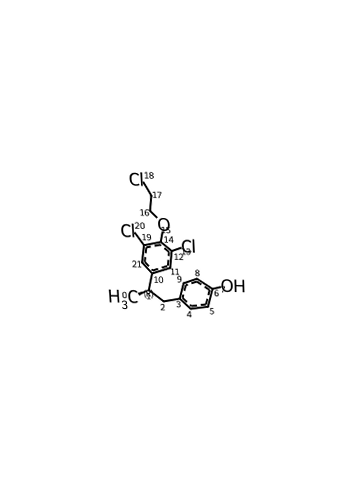 C[C@H](Cc1ccc(O)cc1)c1cc(Cl)c(OCCCl)c(Cl)c1